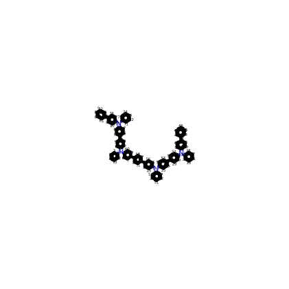 c1ccc(N(c2ccc(-c3ccc(-c4ccc(N(c5ccccc5)c5ccc(-c6ccc(N(c7ccccc7)c7ccc(-c8ccccc8)cc7)cc6)cc5)cc4)cc3)cc2)c2ccc(-c3ccc(N(c4ccccc4)c4ccc(-c5ccccc5)cc4)cc3)cc2)cc#1